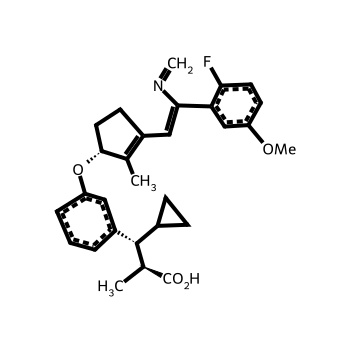 C=N/C(=C\C1=C(C)[C@H](Oc2cccc([C@H](C3CC3)[C@H](C)C(=O)O)c2)CC1)c1cc(OC)ccc1F